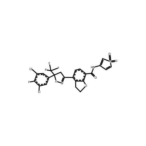 O=C(NC1=CS(=O)(=O)C=C1)c1ccc(C2=NOC(c3cc(Cl)c(F)c(Cl)c3)(C(F)(F)F)C2)c2c1SCC2